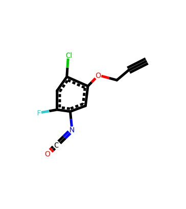 C#CCOc1cc(N=C=O)c(F)cc1Cl